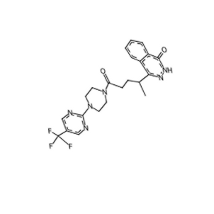 CC(CCC(=O)N1CCN(c2ncc(C(F)(F)F)cn2)CC1)c1n[nH]c(=O)c2ccccc12